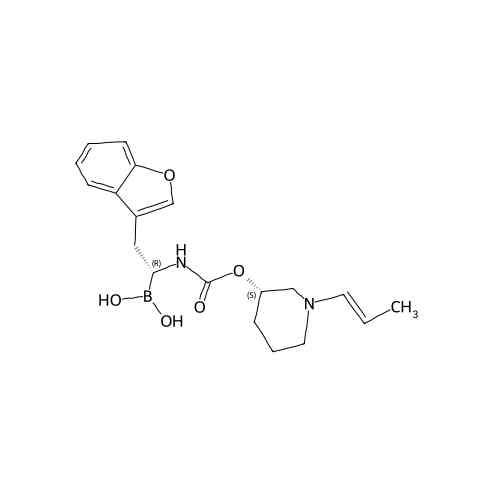 CC=CN1CCC[C@H](OC(=O)N[C@@H](Cc2coc3ccccc23)B(O)O)C1